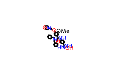 COc1cc(C(Nc2ccc(C(=N)NO)cc2)C(=O)N(Cc2ccccc2)Cc2ccccc2)ccc1OCCN1CCOCC1